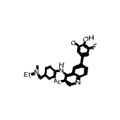 CCN(C)CC1CCC(Nc2c(C(C)=O)cnc3ccc(-c4cc(F)c(O)c(Cl)c4)cc23)CC1